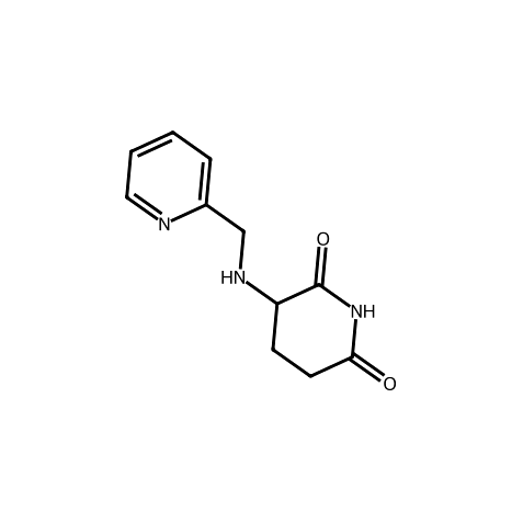 O=C1CCC(NCc2ccccn2)C(=O)N1